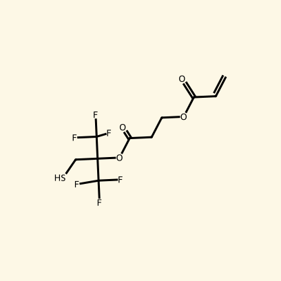 C=CC(=O)OCCC(=O)OC(CS)(C(F)(F)F)C(F)(F)F